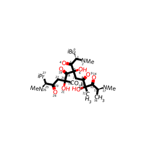 CCC(C)[C@H](NC)C(=O)C(O)(CC(=O)C(C)(O)C(=O)[C@H](C)NC)C(=O)C(O)(CC(=O)[C@@H](NC)C(C)C)C(=O)O